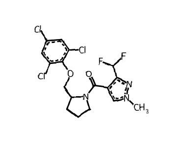 Cn1cc(C(=O)N2CCCC2COc2c(Cl)cc(Cl)cc2Cl)c(C(F)F)n1